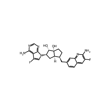 Nc1nc2cc(C[C@@H]3CC[C@@]4(O)[C@@H]3C[C@@H](n3cc(F)c5c(N)ncnc53)[C@@H]4O)ccc2cc1F